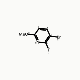 COc1ccc(Br)c(F)n1